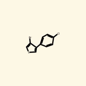 Clc1ccc(-c2[c]scc2Br)cc1